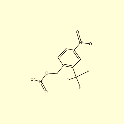 O=[N+]([O-])OCc1ccc([N+](=O)[O-])cc1C(F)(F)F